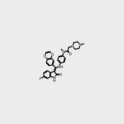 CN1CCN(CC(=O)N(C)c2ccc(N/C(=C3\C(=O)Nc4cc(F)ccc43)c3ccc4c(c3)OC=CO4)cc2)CC1